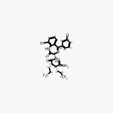 CCc1cccc2c1NC(=O)[C@@H](NC(=O)[C@@H](CCC(F)(F)F)[C@@H](CCC(F)(F)F)C(N)=O)N=C2c1cccc(Cl)c1